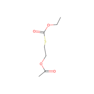 CCOC(=O)SCCOC(C)=O